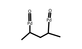 C[CH](C[CH](C)[Pd]=[O])[Pd]=[O]